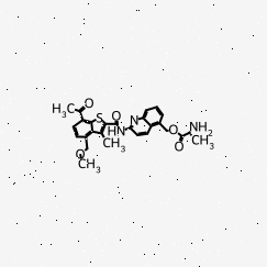 COCc1ccc(C(C)=O)c2sc(C(=O)Nc3ccc4c(COC(=O)[C@H](C)N)cccc4n3)c(C)c12